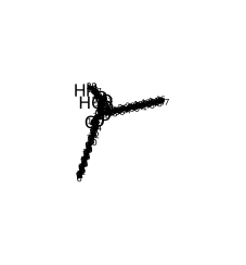 CCCCCCCCCCCCCCCC(=O)OC[C@@H](COP(=O)(O)OCCNC)OC(=O)CCCCCCCCCCCCCCC